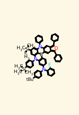 CC(C)(C)c1ccc(N(c2ccc3c(c2)N(c2ccc([Si](C)(C)C)cc2)c2cc([Si](C)(C)C)cc4c2B3c2cc3c(-c5ccccc5)oc(-c5ccccc5)c3cc2N4c2ccccc2)c2ccccc2F)cc1